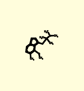 COc1c(C)ccc2ccn(CC(C)(C)N(C)C)c12